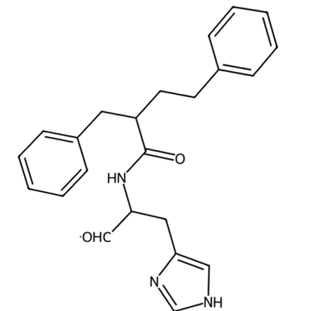 O=[C]C(Cc1c[nH]cn1)NC(=O)C(CCc1ccccc1)Cc1ccccc1